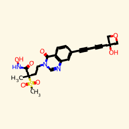 CC(CCn1cnc2cc(C#CC#CC3(O)COC3)ccc2c1=O)(C(=O)NO)S(C)(=O)=O